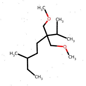 CCC(C)CCC(COC)(COC)C(C)C